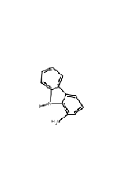 Nc1cccc2c3ccccc3n(I)c12